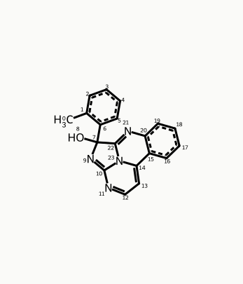 Cc1ccccc1C1(O)N=C2N=CC=C3c4ccccc4N=C1N32